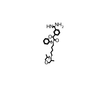 CC1COCC(C)N1CCCCCN1C(=O)C(c2cccc(C(=N)N)c2)Oc2ccccc21